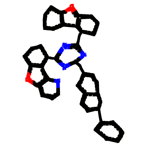 c1ccc(-c2ccc3cc(-c4nc(-c5cccc6oc7ccccc7c56)nc(-c5cccc6oc7cccnc7c56)n4)ccc3c2)cc1